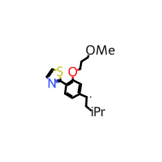 COCCCOc1cc([CH]CC(C)C)ccc1-c1nccs1